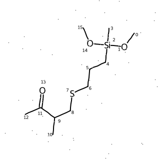 CO[Si](C)(CCCSCC(C)C(C)=O)OC